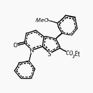 CCOC(=O)c1sc2c(ccc(=O)n2-c2ccccc2)c1-c1ccccc1OC